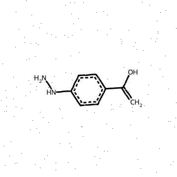 C=C(O)c1ccc(NN)cc1